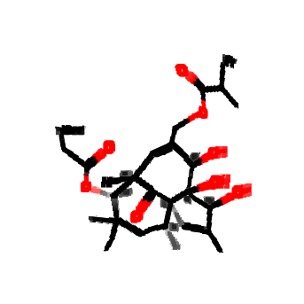 CCCCCCCCCCCC(=O)O[C@@H]1[C@@H]2C=C(COC(=O)C(C)C(C)C)[C@@H](O)[C@]3(O)[C@@H](O)C(C)=C[C@@]3(C2=O)[C@H](C)CC1(C)C